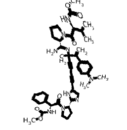 C=C(c1ccc(N(C)C)cc1)C(C)(C#CC#Cc1cnc([C@@H]2CCCN2C(=O)[C@H](NC(=O)OC)c2ccccc2)[nH]1)/N=C(\N)[C@@H]1CCCN1C(=O)[C@@H](NC(=O)OC)C(C)C